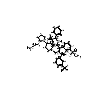 COC[C@@H]1CCCN1C1CCN(Cc2c(-c3cccc(C(F)(F)F)c3)nc3c(S(C)(=O)=O)cccc3c2C(=O)N[C@H](c2ccccc2)C(F)(F)F)CC1